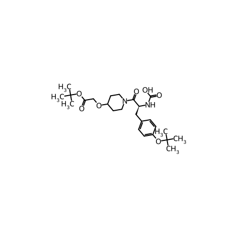 CC(C)(C)OC(=O)COC1CCN(C(=O)[C@H](Cc2ccc(OC(C)(C)C)cc2)NC(=O)O)CC1